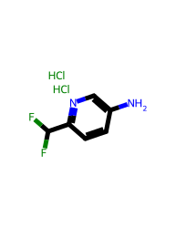 Cl.Cl.Nc1ccc(C(F)F)nc1